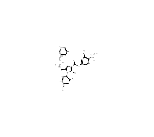 Cc1c(C(=O)Nc2ccc(S(N)(=O)=O)c(Cl)c2)cc(C[C@H](C)OCc2ccccc2)n1-c1ccc(F)cc1Cl